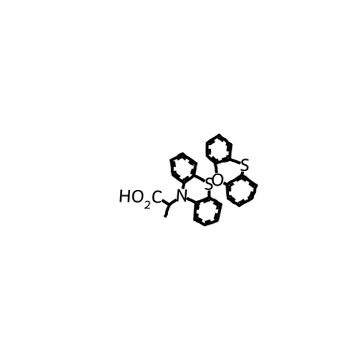 CC(C(=O)O)N1c2ccccc2Sc2ccccc21.c1ccc2c(c1)Oc1ccccc1S2